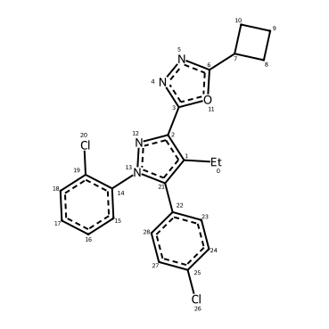 CCc1c(-c2nnc(C3CCC3)o2)nn(-c2ccccc2Cl)c1-c1ccc(Cl)cc1